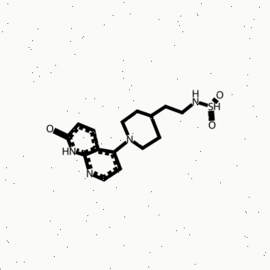 O=c1ccc2c(N3CCC(CCN[SH](=O)=O)CC3)ccnc2[nH]1